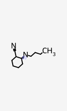 CCCC/N=C1\CCCCC1C#N